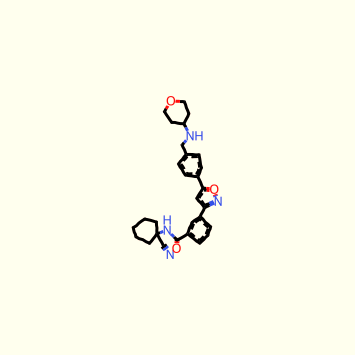 N#CC1(NC(=O)c2cccc(-c3cc(-c4ccc(CNC5CCOCC5)cc4)on3)c2)CCCCC1